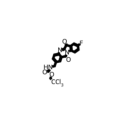 O=C(NCc1ccc2nc3n(c(=O)c2c1)-c1ccc(F)cc1C3=O)OCC(Cl)(Cl)Cl